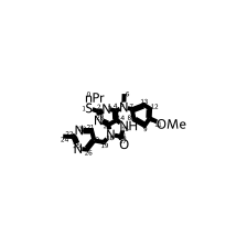 CCCSc1nc(N(C)c2ccc(OC)cc2)c2[nH]c(=O)n(Cc3cnc(C)nc3)c2n1